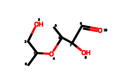 CC(CO)OC(C)C(O)C=O